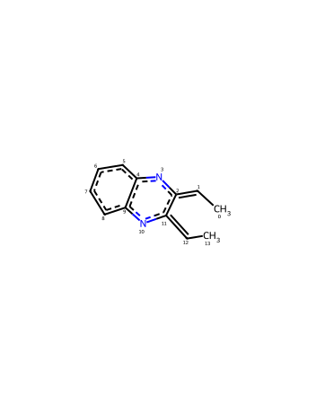 C/C=c1/nc2ccccc2n/c1=C/C